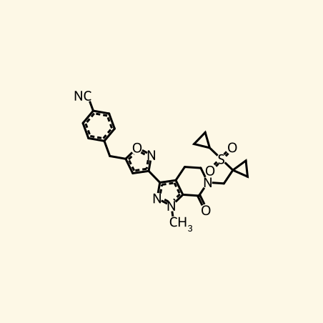 Cn1nc(-c2cc(Cc3ccc(C#N)cc3)on2)c2c1C(=O)N(CC1(S(=O)(=O)C3CC3)CC1)CC2